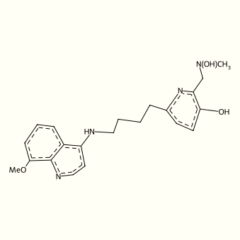 COc1cccc2c(NCCCCc3ccc(O)c(CN(C)O)n3)ccnc12